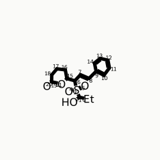 CCC(O)S(=O)(=O)C(/C=C/c1ccccc1)C1CCCC(=O)O1